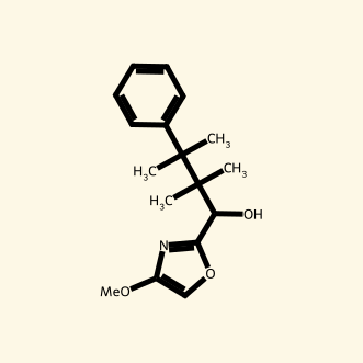 COc1coc(C(O)C(C)(C)C(C)(C)c2ccccc2)n1